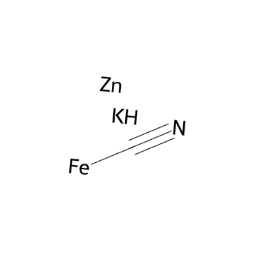 N#[C][Fe].[KH].[Zn]